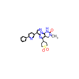 CN1Cc2c(C3CCS(=O)(=O)CC3)nc3c(-c4ccc(-c5ccccc5)nc4)cnn3c2NC1=O